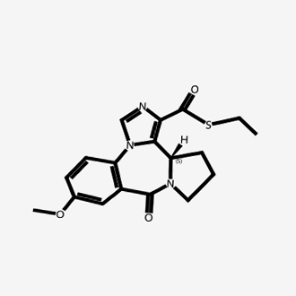 CCSC(=O)c1ncn2c1[C@@H]1CCCN1C(=O)c1cc(OC)ccc1-2